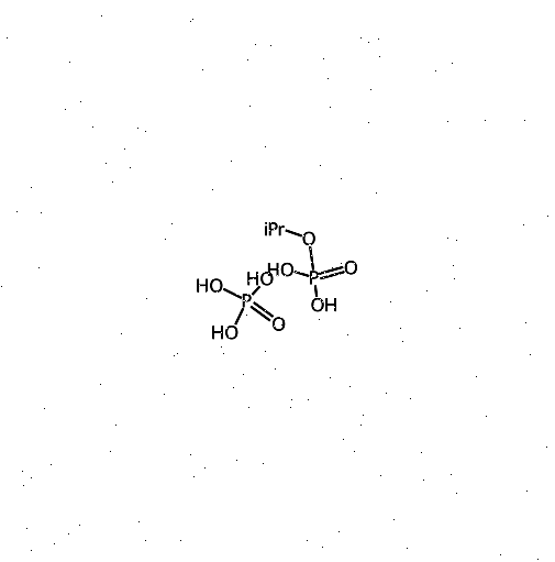 CC(C)OP(=O)(O)O.O=P(O)(O)O